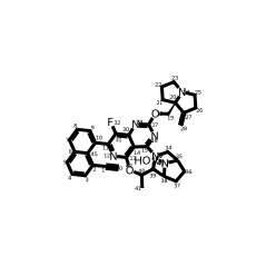 C#Cc1cccc2cccc(-c3nc4c5c(nc(OC[C@@]67CCCN6CCC7=C)nc5c3F)N3CC5CCC(C3C(C)O4)N5C(=O)O)c12